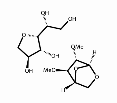 CO[C@@H]1[C@H]2OC[C@@H](O2)[C@H]1OC.OC[C@@H](O)[C@H]1OC[C@H](O)[C@H]1O